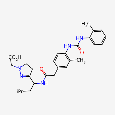 Cc1ccccc1NC(=O)Nc1ccc(CC(=O)NC(CC(C)C)C2=NN(CC(=O)O)CC2)cc1C